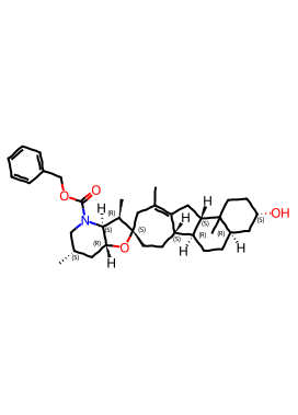 CC1=C2C[C@H]3[C@@H](CC[C@@H]4C[C@@H](O)CCC43C)[C@@H]2CC[C@@]2(C1)O[C@@H]1C[C@H](C)CN(C(=O)OCc3ccccc3)[C@H]1[C@H]2C